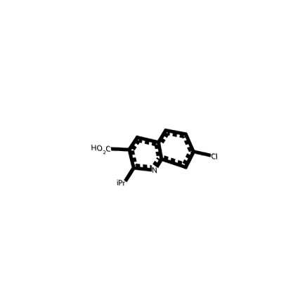 CC(C)c1nc2cc(Cl)ccc2cc1C(=O)O